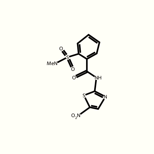 CNS(=O)(=O)c1ccccc1C(=O)Nc1ncc([N+](=O)[O-])s1